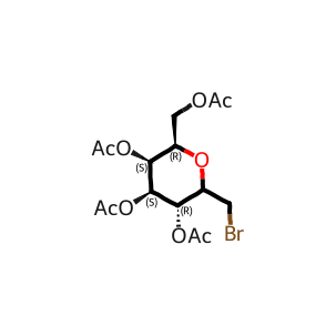 CC(=O)OC[C@H]1OC(CBr)[C@H](OC(C)=O)[C@@H](OC(C)=O)[C@H]1OC(C)=O